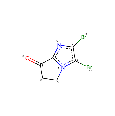 O=C1CCn2c1nc(Br)c2Br